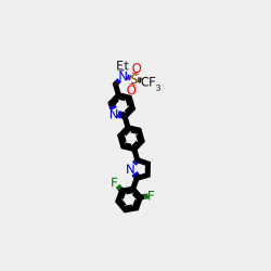 CCN(Cc1ccc(-c2ccc(C3CCC(c4c(F)cccc4F)=N3)cc2)nc1)S(=O)(=O)C(F)(F)F